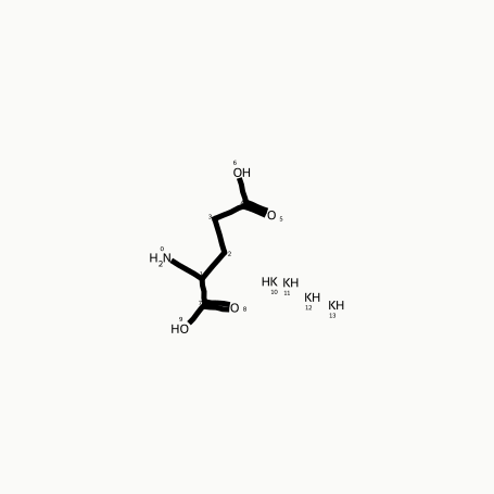 NC(CCC(=O)O)C(=O)O.[KH].[KH].[KH].[KH]